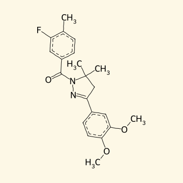 COc1ccc(C2=NN(C(=O)c3ccc(C)c(F)c3)C(C)(C)C2)cc1OC